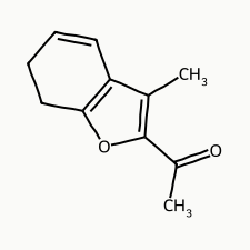 CC(=O)c1oc2c(c1C)C=CCC2